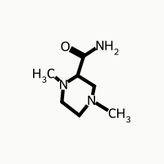 CN1CCN(C)C(C(N)=O)C1